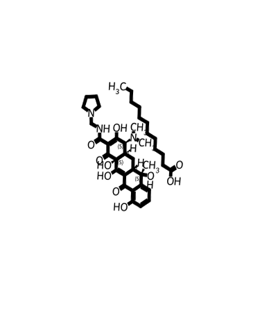 CCCCCCCCCCCC(=O)O.CN(C)[C@@H]1C(O)=C(C(=O)NCN2CCCC2)C(=O)[C@@]2(O)C(O)=C3C(=O)c4c(O)cccc4[C@@](C)(O)[C@H]3C[C@H]12